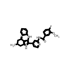 COc1cc(C(=O)Nc2cc(-c3[nH]c4c(c3Nc3ccccc3)C(=O)CC(C)C4)ccn2)ccc1F